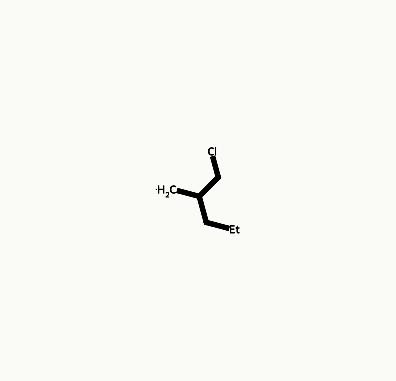 [CH2]C(CCl)CCC